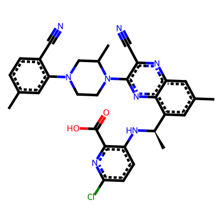 Cc1ccc(C#N)c(N2CCN(c3nc4c([C@@H](C)Nc5ccc(Cl)nc5C(=O)O)cc(C)cc4nc3C#N)C(C)C2)c1